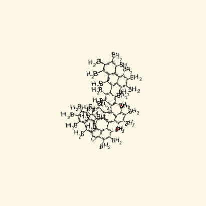 Bc1c(B)c(-c2c(B)c3c(B)c(B)c(B)c(B)c3c3c(B)c(B)c(B)c(B)c23)c(B)c(B)c1-c1c2c(B)c(B)c(B)c(B)c2c(-c2c(B)c(B)c(B)c3oc4c(B)c5c(B)c(B)c(B)c(B)c5c(B)c4c23)c2c(B)c(B)c(B)c(B)c12